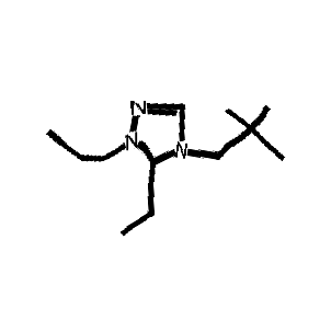 CCC1N(CC(C)(C)C)C=NN1CC